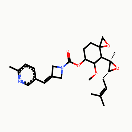 COC1C(OC(=O)N2CC(=Cc3ccc(C)nc3)C2)CCC2(CO2)C1[C@@]1(C)O[C@@H]1CC=C(C)C